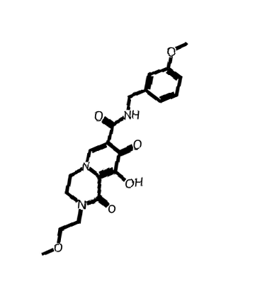 COCCN1CCn2cc(C(=O)NCc3cccc(OC)c3)c(=O)c(O)c2C1=O